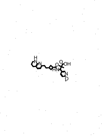 COc1ccc([C@@H](NC(=O)C2CC(CCc3ccc4c(n3)NCCC4)C2)C(C)(C)C(=O)O)cn1